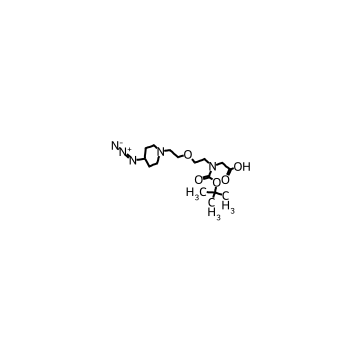 CC(C)(C)OC(=O)N(CCOCCN1CCC(N=[N+]=[N-])CC1)CC(=O)O